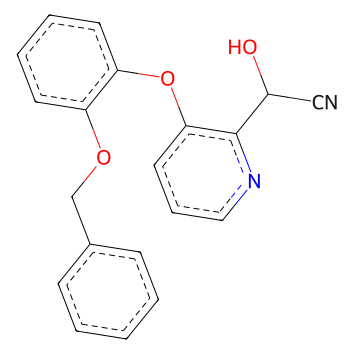 N#CC(O)c1ncccc1Oc1ccccc1OCc1ccccc1